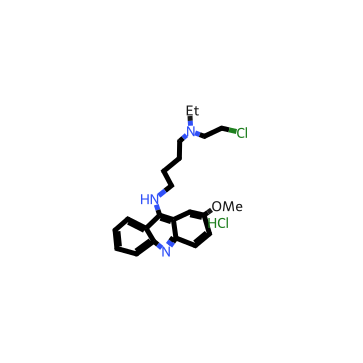 CCN(CCCl)CCCCNc1c2ccccc2nc2ccc(OC)cc12.Cl